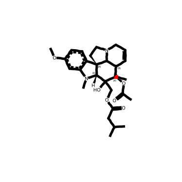 CC[C@]12C=CCN3CC[C@@]4(c5ccc(OC)cc5N(C)[C@H]4C(O)(COC(=O)CC(C)C)[C@@H]1OC(C)=O)C32